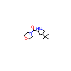 CC(C)(C)C1CNC(C(=O)N2CCOCC2)C1